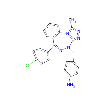 Cc1nnc2n1-c1ccccc1C(c1ccc(Cl)cc1)=NN2Cc1ccc(N)cc1